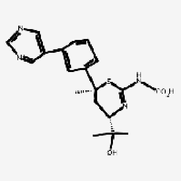 CC(C)(O)[C@@H]1C[C@@](C)(c2cccc(-c3cncnc3)c2)SC(NC(=O)O)=N1